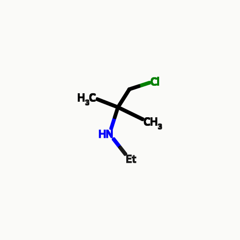 CCNC(C)(C)CCl